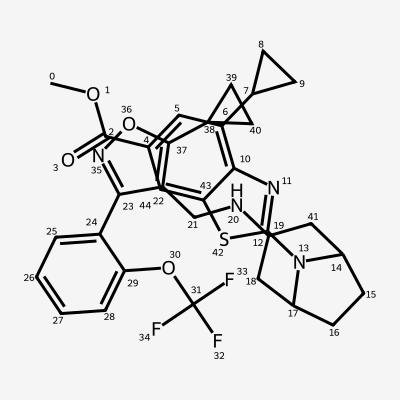 COC(=O)c1cc(C2CC2)c2nc(N3C4CCC3CC(NCc3c(-c5ccccc5OC(F)(F)F)noc3C3CC3)C4)sc2c1